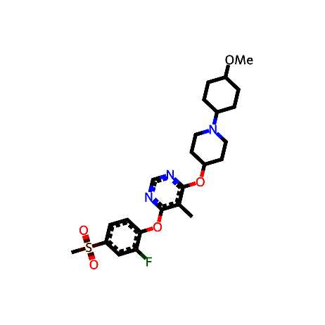 COC1CCC(N2CCC(Oc3ncnc(Oc4ccc(S(C)(=O)=O)cc4F)c3C)CC2)CC1